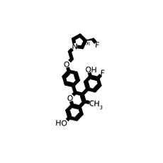 CC1=C(c2ccc(F)c(O)c2)C(c2ccc(OCCN3CC[C@@H](CF)C3)cc2)Oc2cc(O)ccc21